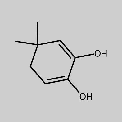 CC1(C)C=C(O)C(O)=CC1